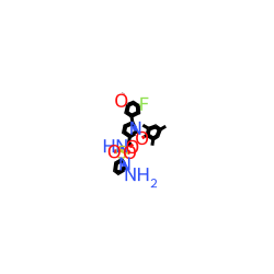 COc1cc(F)cc(-c2ccc(C(=O)NS(=O)(=O)c3cccc(N)n3)c(Oc3c(C)cc(C)cc3C)n2)c1